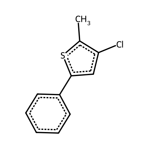 Cc1sc(-c2ccccc2)cc1Cl